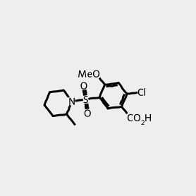 COc1cc(Cl)c(C(=O)O)cc1S(=O)(=O)N1CCCCC1C